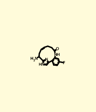 NC1CC=CCCC(=O)Nc2cc(F)ccc2-c2c[nH]c1n2